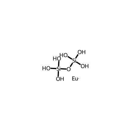 O[Si](O)(O)O[Si](O)(O)O.[Eu]